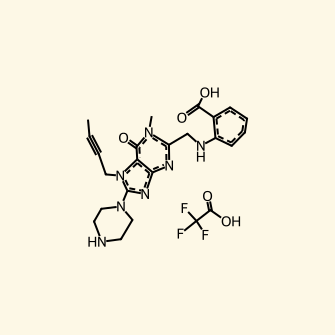 CC#CCn1c(N2CCNCC2)nc2nc(CNc3ccccc3C(=O)O)n(C)c(=O)c21.O=C(O)C(F)(F)F